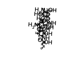 CCC[C@H](O)C(=O)N[C@@H]1CC(C)[C@@H](O[C@H]2OC3C(O)C(NC)C(O[C@H]4OC(CO)[C@@H](N)[C@H](O)C4O)O[C@H]3C[C@@H]2N)C(O)[C@@H]1O